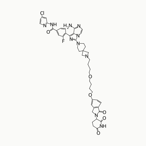 Nc1nccn2c(N3CCC4(CC3)CN(CCCCOCCCCOc3ccc5c(c3)CN(C3CCC(=O)NC3=O)C5=O)C4)nc(-c3ccc(C(=O)Nc4cc(Cl)ccn4)cc3F)c12